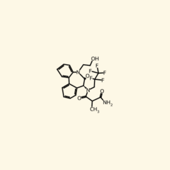 CC(C(N)=O)C(=O)N(CC(F)(F)C(F)(F)F)[C@@H]1C(=O)N(CCO)c2ccccc2-c2ccccc21